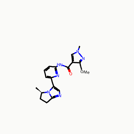 COc1nn(C)cc1C(=O)Nc1cccc(-c2cnc3n2[C@H](C)CC3)n1